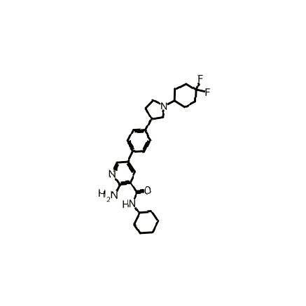 Nc1ncc(-c2ccc(C3CCN(C4CCC(F)(F)CC4)C3)cc2)cc1C(=O)NC1CCCCC1